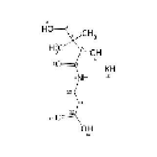 CC(C)(CO)[C@H](O)C(=O)NCCC(=O)O.[KH]